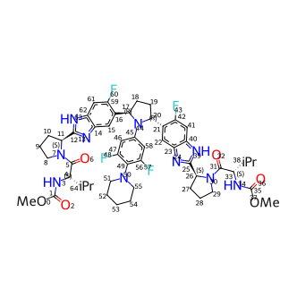 COC(=O)N[C@H](C(=O)N1CCC[C@H]1c1nc2cc([C@H]3CC[C@H](c4cc5nc([C@@H]6CCCN6C(=O)[C@@H](NC(=O)OC)C(C)C)[nH]c5cc4F)N3c3cc(F)c(N4CCCCC4)c(F)c3)c(F)cc2[nH]1)C(C)C